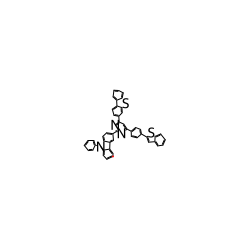 c1ccc(-n2c3ccccc3c3cc(-c4nc(-c5ccc(-c6cc7ccccc7s6)cc5)cc(-c5ccc6c(c5)sc5ccccc56)n4)ccc32)cc1